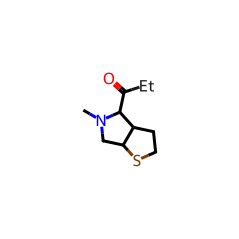 CCC(=O)C1C2CCSC2CN1C